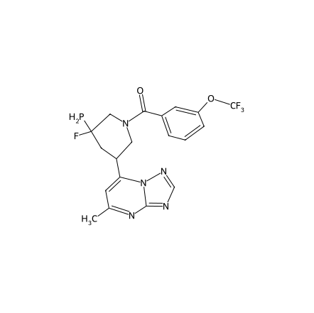 Cc1cc(C2CN(C(=O)c3cccc(OC(F)(F)F)c3)CC(F)(P)C2)n2ncnc2n1